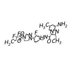 C=CC(F)(F)S(=O)(=O)N1C=NN(c2ccc(CNC(=O)c3c(CC)nc4c(N)cc(C)cn34)cc2F)CC1